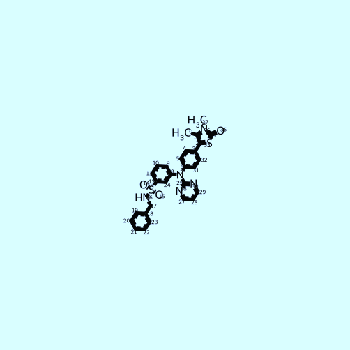 Cc1c(-c2ccc(N(c3cccc(S(=O)(=O)NCc4ccccc4)c3)c3ncccn3)cc2)sc(=O)n1C